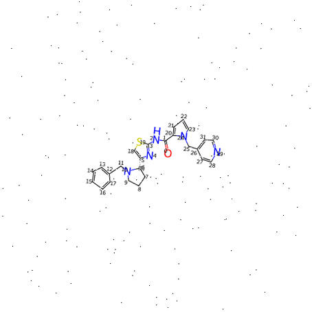 O=C(Nc1nc([C@@H]2CCCN2Cc2ccccc2)cs1)c1cccn1Cc1ccncc1